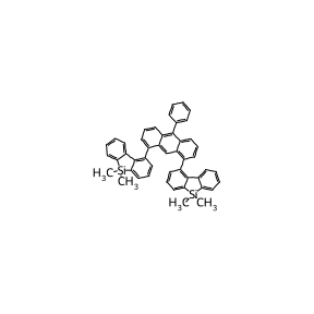 C[Si]1(C)c2ccccc2-c2c(-c3cccc4c(-c5ccccc5)c5cccc(-c6cccc7c6-c6ccccc6[Si]7(C)C)c5cc34)cccc21